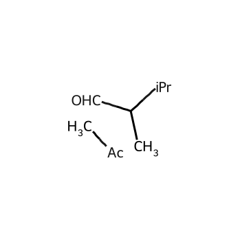 CC(C)=O.CC(C)C(C)C=O